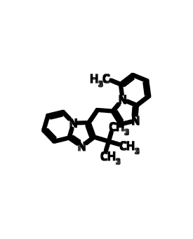 Cc1cccc2ncc(Cc3c(C(C)(C)C)nc4ccccn34)n12